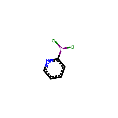 ClP(Cl)c1ccccn1